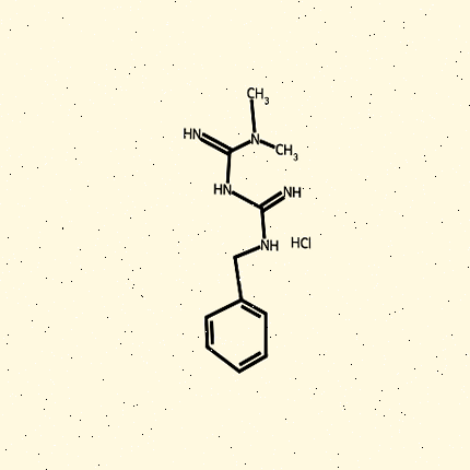 CN(C)C(=N)NC(=N)NCc1ccccc1.Cl